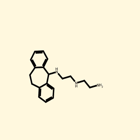 NCCNCCNC1c2ccccc2CCc2ccccc21